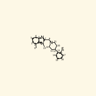 Cc1cccc2nc(CN3CCC(c4ccccc4F)CC3)n(C)c12